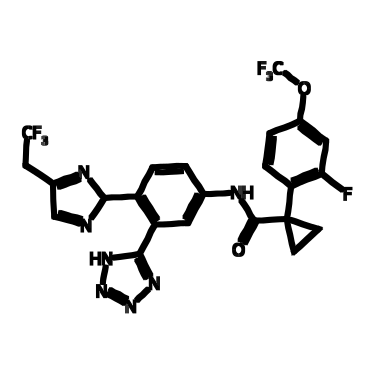 O=C(Nc1ccc(C2N=CC(CC(F)(F)F)=N2)c(-c2nnn[nH]2)c1)C1(c2ccc(OC(F)(F)F)cc2F)CC1